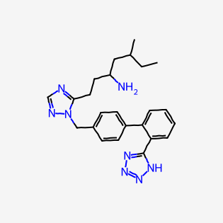 CCC(C)CC(N)CCc1ncnn1Cc1ccc(-c2ccccc2-c2nnn[nH]2)cc1